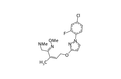 CNCC(=NOC)C(C)=CCOc1ccn(-c2ccc(Cl)cc2F)n1